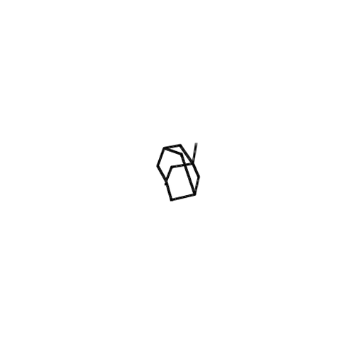 CC12C[C]3CC(CC(C3)C1)C2